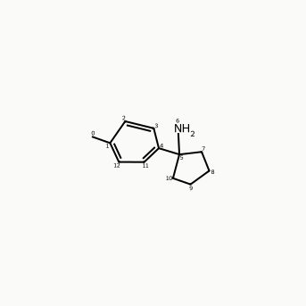 Cc1ccc(C2(N)CCCC2)cc1